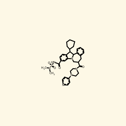 CN(C)S(=O)(=O)NC(=O)c1ccc2c(c1)N1CC(C(=O)N3CCN(c4ccncc4)CC3)Cc3ccccc3C1C2C1CCCCC1